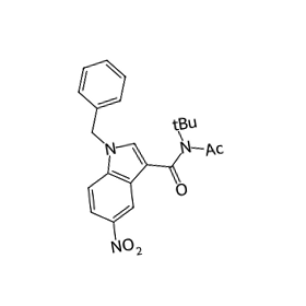 CC(=O)N(C(=O)c1cn(Cc2ccccc2)c2ccc([N+](=O)[O-])cc12)C(C)(C)C